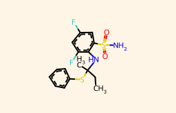 CCC(C)(Nc1c(F)cc(F)cc1S(N)(=O)=O)Sc1ccccc1